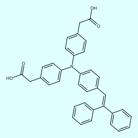 O=C(O)Cc1ccc(N(c2ccc(C=C(c3ccccc3)c3ccccc3)cc2)c2ccc(CC(=O)O)cc2)cc1